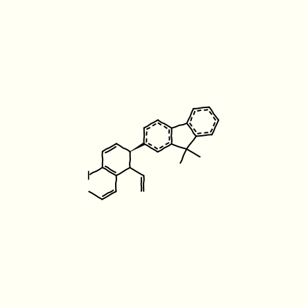 C=CC1C(/C=C\C)=C(I)C=C[C@H]1c1ccc2c(c1)C(C)(C)c1ccccc1-2